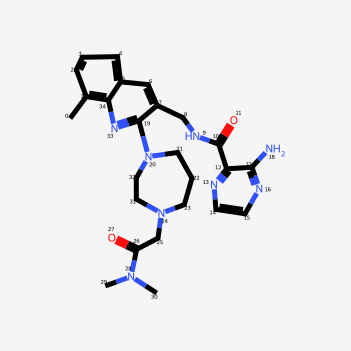 Cc1cccc2cc(CNC(=O)c3nccnc3N)c(N3CCCN(CC(=O)N(C)C)CC3)nc12